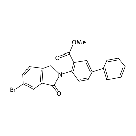 COC(=O)c1cc(-c2ccccc2)ccc1N1Cc2ccc(Br)cc2C1=O